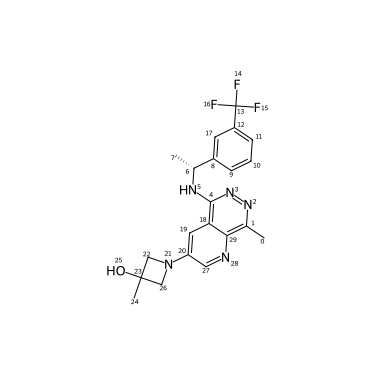 Cc1nnc(N[C@H](C)c2cccc(C(F)(F)F)c2)c2cc(N3CC(C)(O)C3)cnc12